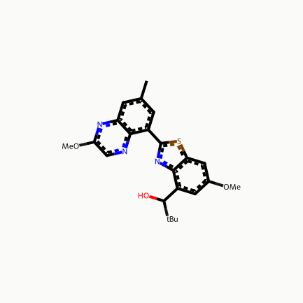 COc1cc(C(O)C(C)(C)C)c2nc(-c3cc(C)cc4nc(OC)cnc34)sc2c1